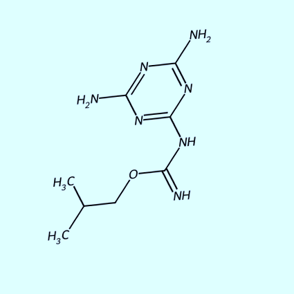 CC(C)COC(=N)Nc1nc(N)nc(N)n1